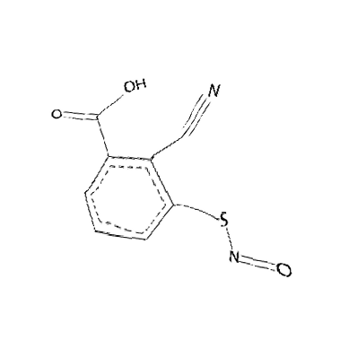 N#Cc1c(SN=O)cccc1C(=O)O